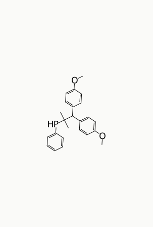 COc1ccc(C(c2ccc(OC)cc2)C(C)(C)Pc2ccccc2)cc1